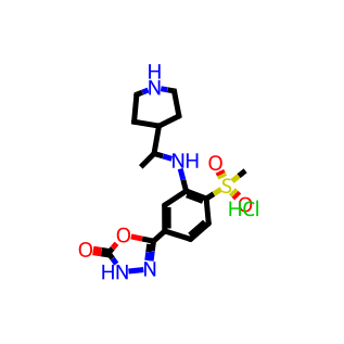 CC(Nc1cc(-c2n[nH]c(=O)o2)ccc1S(C)(=O)=O)C1CCNCC1.Cl